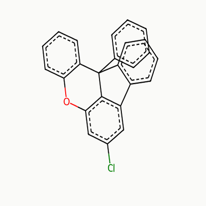 Clc1cc2c3c(c1)-c1ccccc1C3(c1ccccc1)c1ccccc1O2